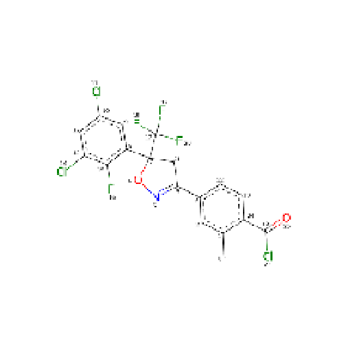 Cc1cc(C2=NOC(c3cc(Cl)cc(Cl)c3F)(C(F)(F)F)C2)ccc1C(=O)Cl